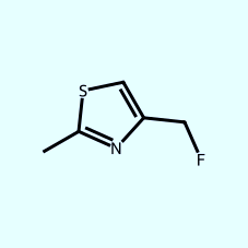 Cc1nc(CF)cs1